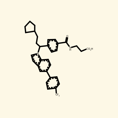 O=C(O)CCNC(=O)c1ccc(C(CCC2CCCC2)n2ccc3cc(-c4ccc(C(F)(F)F)cc4)ccc32)cc1